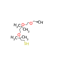 C#CCOCCOC(C)(C)CCOC(C)(C)CCS